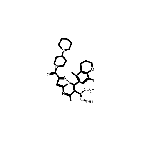 Cc1nc2cc(C(=O)N3CCC(N4CCCCC4)CC3)nn2c(-c2cc(F)c3c(c2C)CCCO3)c1[C@H](OC(C)(C)C)C(=O)O